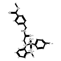 COC(=O)c1ccc(CNC(=O)CN(c2ccccc2OC)S(=O)(=O)c2ccc(F)cc2)cc1